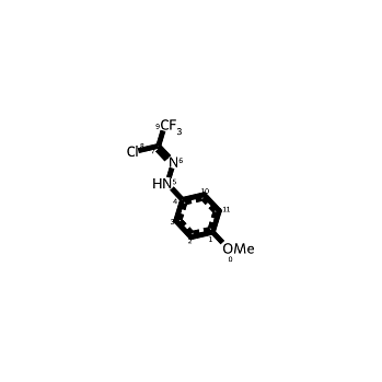 COc1ccc(NN=C(Cl)C(F)(F)F)cc1